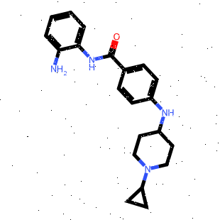 Nc1ccccc1NC(=O)c1ccc(NC2CCN(C3CC3)CC2)cc1